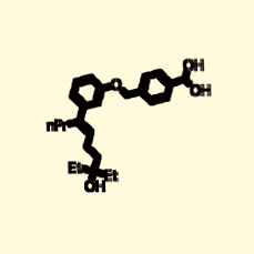 CCCC(=CCCC(O)(CC)CC)c1cccc(OCc2ccc(C(O)O)cc2)c1